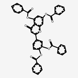 O=C(Oc1cc(OC(=O)c2ccccc2)c2c(=O)cc(-c3ccc(OC(=O)c4ccccc4)c(OC(=O)c4ccccc4)c3)oc2c1)c1ccccc1